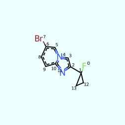 FC1(c2cn3cc(Br)ccc3n2)CC1